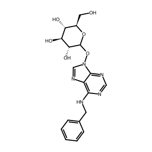 OC[C@H]1OC(On2cnc3c(NCc4ccccc4)ncnc32)[C@H](O)[C@@H](O)[C@@H]1O